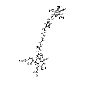 COc1ccc(-c2oc3c(CC=C(C)C)c(O)cc(O)c3c(=O)c2OC(=O)CCC(=O)OCCOCCOCc2cn(CCO[C@@H]3O[C@H](CO)[C@@H](O)[C@H](O)[C@H]3O)nn2)cc1